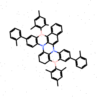 Cc1cc(C)c(B2C3=C4C(=CCC3)N3c5ccc(-c6ccccc6C)cc5B(c5c(C)cc(C)cc5C)c5c3c(cc3ccccc53)N4c3ccc(-c4ccccc4C)cc32)c(C)c1